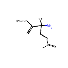 C=C(C)CCC(N)(CC)C(=C)CC(C)C